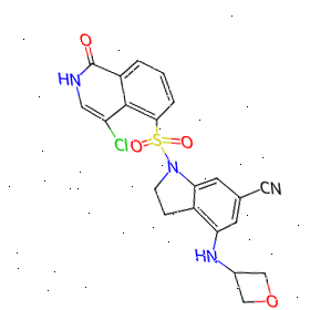 N#Cc1cc(NC2COC2)c2c(c1)N(S(=O)(=O)c1cccc3c(=O)[nH]cc(Cl)c13)CC2